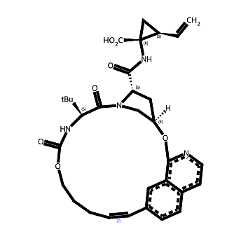 C=C[C@@H]1C[C@]1(NC(=O)[C@@H]1C[C@@H]2CN1C(=O)[C@H](C(C)(C)C)NC(=O)OCCC/C=C\c1ccc3ccnc(c3c1)O2)C(=O)O